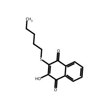 CCCCCSC1=C(O)C(=O)c2ccccc2C1=O